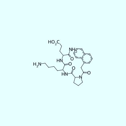 NCCCCC(NC(=O)C1CCCN1C(=O)Cc1cccc2ccccc12)C(=O)NC(CCC(=O)O)C(N)=O